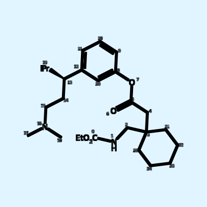 CCOC(=O)NCC1(CC(=O)Oc2cccc([C@@H](CCN(C)C)C(C)C)c2)CCCCC1